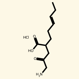 CCC=CCCC(CC(=O)CN)C(=O)O.Cl